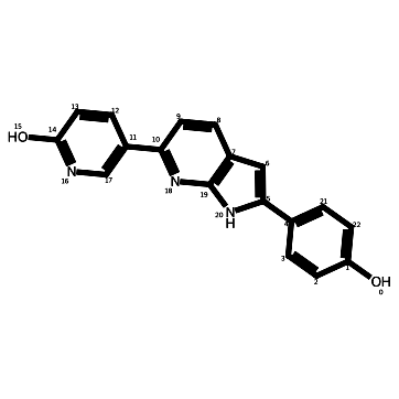 Oc1ccc(-c2cc3ccc(-c4ccc(O)nc4)nc3[nH]2)cc1